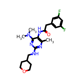 Cc1nc(NCC2CCOCC2)nc(N(C)C)c1NC(=O)Cc1cc(F)cc(F)c1